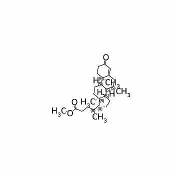 COC(=O)CC[C@@H](C)[C@H]1CC[C@H]2[C@@H]3[C@@H](C)CC4=CC(=O)CC[C@]4(C)[C@H]3CC[C@]12C